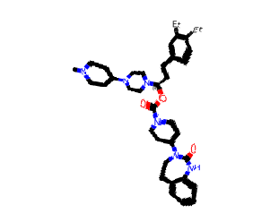 CCc1ccc(CC[C@@H](OC(=O)N2CCC(N3CCc4ccccc4NC3=O)CC2)N2CCN(C3CCN(C)CC3)CC2)cc1CC